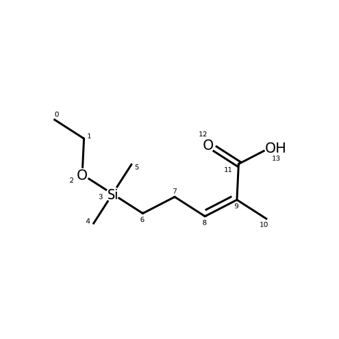 CCO[Si](C)(C)CCC=C(C)C(=O)O